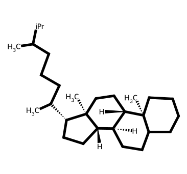 CC(C)C(C)CCCC(C)[C@H]1CC[C@H]2[C@@H]3CCC4CCCC[C@]4(C)[C@H]3CC[C@]12C